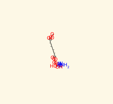 CC(=O)CCC(=O)OC1CC(C)(C)C(/C=C/C(C)=C/C=C/C(C)=C/C=C/C=C(C)/C=C/C=C(C)/C=C/C2=C(C)C(=O)C(OC(=O)CCC(=O)OCC3OC(n4cnc5c(N)ncnc54)C(O)C3O)CC2(C)C)=C(C)C1=O